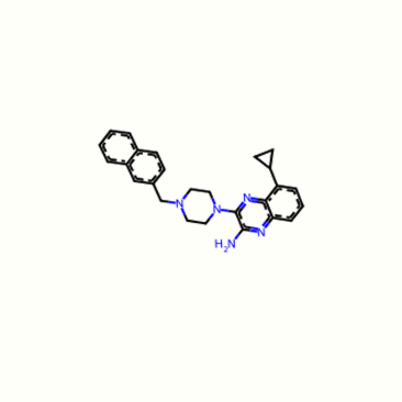 Nc1nc2cccc(C3CC3)c2nc1N1CCN(Cc2ccc3ccccc3c2)CC1